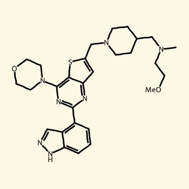 COCCN(C)CC1CCN(Cc2cc3nc(-c4cccc5[nH]ncc45)nc(N4CCOCC4)c3s2)CC1